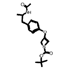 CC(=O)NC(C)Cc1ccc(OC2CN(C(=O)OC(C)(C)C)C2)cc1